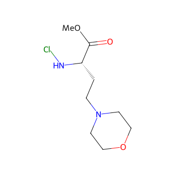 COC(=O)[C@H](CCN1CCOCC1)NCl